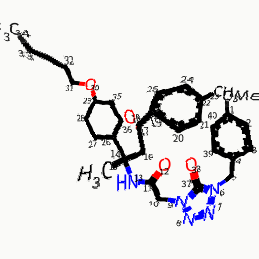 COc1ccc(Cn2nnn(CC(=O)NC(C)(CC(=O)c3ccc(C)cc3)C3CCC(OCCCC(F)(F)F)CC3)c2=O)cc1